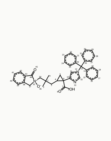 CC(C)(CC1CC1(C(=O)O)c1cn(C(c2ccccc2)(c2ccccc2)c2ccccc2)cn1)C[N+]1([O-])Cc2ccccc2C1=O